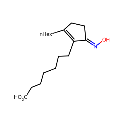 CCCCCCC1=C(CCCCCCC(=O)O)/C(=N/O)CC1